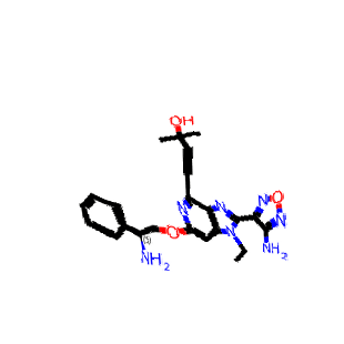 CCn1c(-c2nonc2N)nc2c(C#CC(C)(C)O)nc(OC[C@@H](N)c3ccccc3)cc21